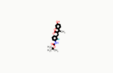 Cc1c(Cc2cccc(NC(=O)OC(C)(C)C)c2F)c(=O)oc2cc(O)ccc12